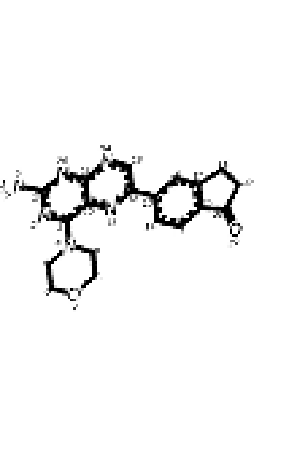 Nc1nc(N2CCOCC2)c2nc(-c3ccc4c(c3)CCC4=O)cnc2n1